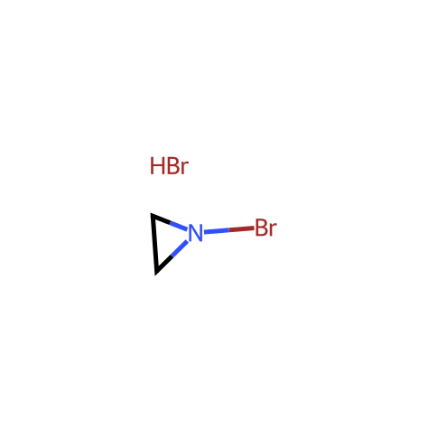 Br.BrN1CC1